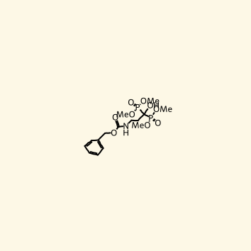 COP(=O)(OC)C(O)(CCNC(=O)OCc1ccccc1)P(=O)(OC)OC